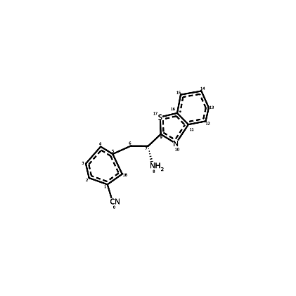 N#Cc1cccc(C[C@@H](N)c2nc3ccccc3s2)c1